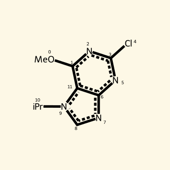 COc1nc(Cl)nc2ncn(C(C)C)c12